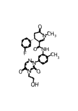 Cc1ccc(-n2ncc(=O)n(CCO)c2=O)cc1NC(=O)C1=CN(C)C(=O)C[C@H]1c1cccc(F)c1